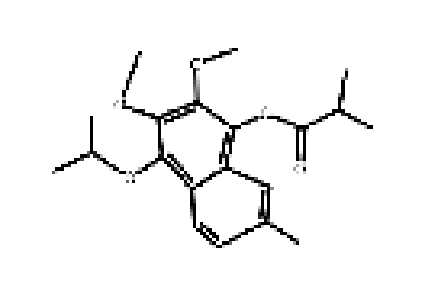 COc1c(OC)c(OC(C)C)c2ccc(C)cc2c1OC(=O)C(C)C